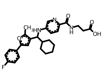 Cc1oc(-c2ccc(F)cc2)cc1C(Nc1ccc(C(=O)NCCC(=O)O)nc1)C1CCCCC1